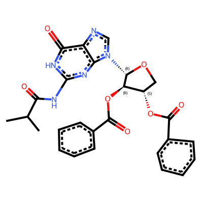 CC(C)C(=O)Nc1nc2c(ncn2[C@@H]2OC[C@H](OC(=O)c3ccccc3)[C@H]2OC(=O)c2ccccc2)c(=O)[nH]1